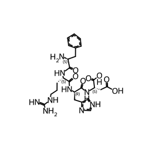 N=C(N)NCCC[C@H](NC(=O)[C@@H](N)Cc1ccccc1)C(=O)N[C@H](Cc1c[nH]cn1)C(=O)N[C@@H](CC(=O)O)C(=O)O